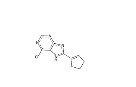 Clc1ncnc2nc(C3=CCCC3)[nH]c12